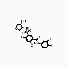 O=C(Nc1ccc(F)c(Cl)c1)c1cc(S(=O)(=O)NC2COCC2O)c(F)cc1Cl